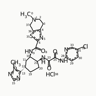 CN1CCc2nc(C(=O)N[C@@H]3C[C@@H](c4ncnn4C)CC[C@@H]3NC(=O)C(=O)Nc3ccc(Cl)cn3)sc2C1.Cl